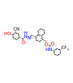 N#Cc1cc(C(=O)N/N=C/c2ccc(COC(=O)Nc3cccc(C(F)(F)F)c3)c3ccccc23)ccc1O